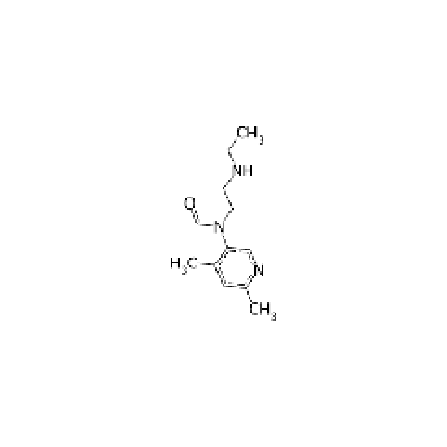 CCNCCN(C=O)c1cnc(C)cc1C